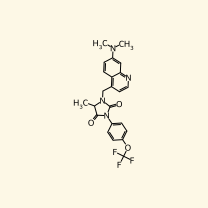 CC1C(=O)N(c2ccc(OC(F)(F)F)cc2)C(=O)N1Cc1ccnc2cc(N(C)C)ccc12